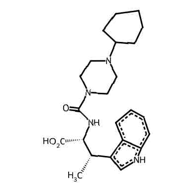 C[C@@H](c1c[nH]c2ccccc12)[C@@H](NC(=O)N1CCN(C2CCCCC2)CC1)C(=O)O